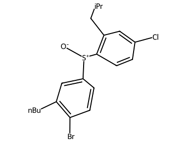 CCCCc1cc([S+]([O-])c2ccc(Cl)cc2CC(C)C)ccc1Br